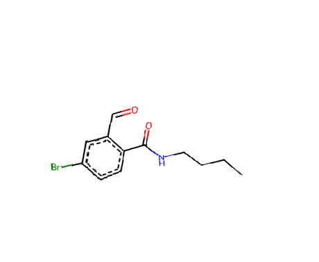 CCCCNC(=O)c1ccc(Br)cc1C=O